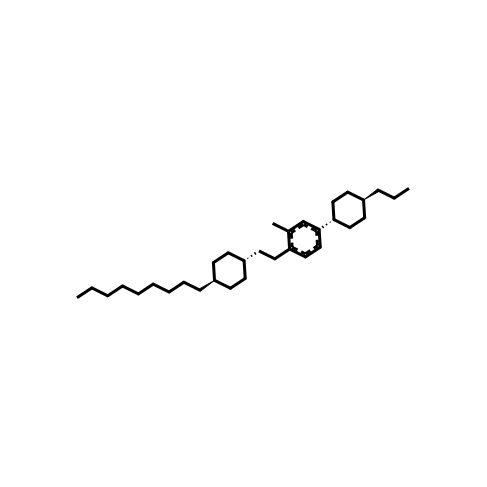 CCCCCCCCC[C@H]1CC[C@H](CCc2ccc([C@H]3CC[C@H](CCC)CC3)cc2C)CC1